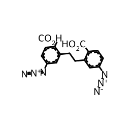 [N-]=[N+]=Nc1ccc(C(=O)O)c(CCc2cc(N=[N+]=[N-])ccc2C(=O)O)c1